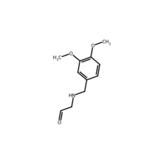 COc1ccc(CNCC=O)cc1OC